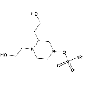 CCCS(=O)(=O)ON1CCN(CCO)C(CCO)C1